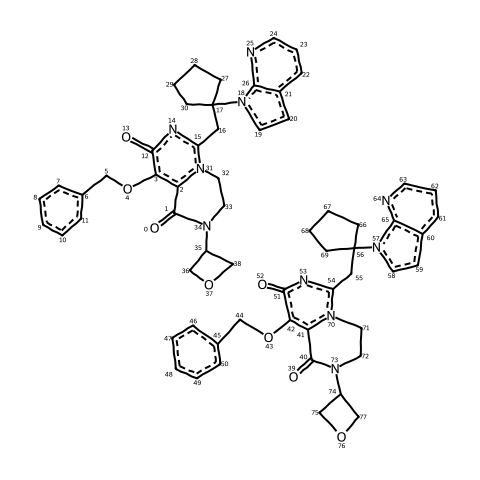 O=C1c2c(OCc3ccccc3)c(=O)nc(CC3(n4ccc5cccnc54)CCCC3)n2CCN1C1COC1.O=C1c2c(OCc3ccccc3)c(=O)nc(CC3(n4ccc5cccnc54)CCCC3)n2CCN1C1COC1